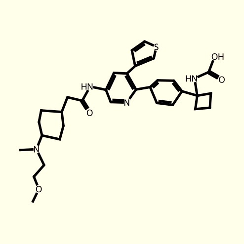 COCCN(C)C1CCC(CC(=O)Nc2cnc(-c3ccc(C4(NC(=O)O)CCC4)cc3)c(-c3ccsc3)c2)CC1